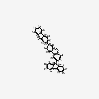 C1=c2sc3ccc(-n4c5ccccc5c5ccccc54)cc3c2=CCC1c1ccc2c(c1)sc1ccccc12